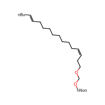 CCCC/C=C/CCCCCCCC/C=C\CCOCOCCCCCCCCC